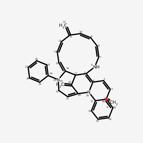 C=C/C=C\C1=C2N/C=C\C=C/C(=C)/C=C\C=C3/C2C(=C)C(=CCN3c2ccccc2)N1c1ccccc1